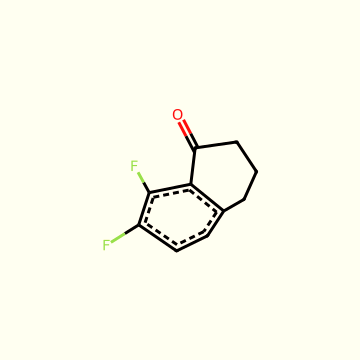 O=C1CCCc2ccc(F)c(F)c21